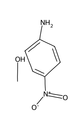 CO.Nc1ccc([N+](=O)[O-])cc1